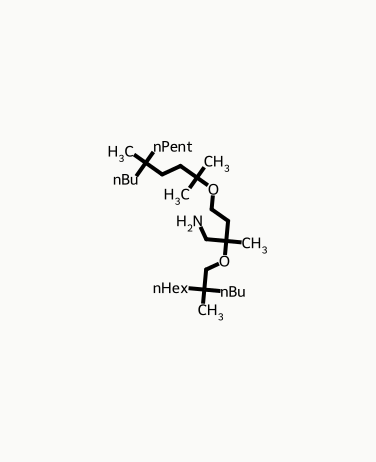 CCCCCCC(C)(CCCC)COC(C)(CN)CCOC(C)(C)CCC(C)(CCCC)CCCCC